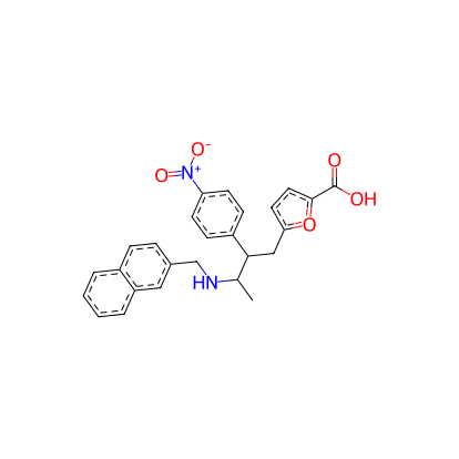 CC(NCc1ccc2ccccc2c1)C(Cc1ccc(C(=O)O)o1)c1ccc([N+](=O)[O-])cc1